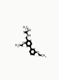 CCOc1cccc(-c2ccc(CNC(=S)NC)c(OCC)c2)c1